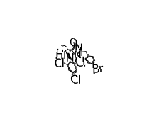 CCc1[nH]n(-c2c(Cl)cc(Cl)cc2Cl)c2nc(Cc3ccc(Br)cc3)nc(=O)c1-2